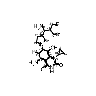 CC1=c2c(c(=O)[nH]c(=O)n2C2CC2)=C(N)C(F)C1N1CCC(C(N)C(CF)CF)C1